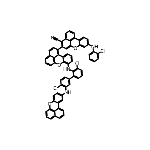 N#Cc1c(-c2ccc3cccc4c3c2-c2cccc(Nc3c(Cl)cccc3-c3ccc(Cl)c(Nc5ccc6c(c5)-c5cccc7cccc(c57)O6)c3)c2O4)cc2c3c(cccc13)-c1ccc(Nc3ccccc3Cl)cc1O2